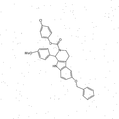 COc1ccc(C2c3[nH]c4ccc(OCc5ccccc5)cc4c3CCN2C(=O)Oc2ccc(Cl)cc2)cc1